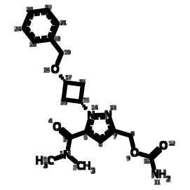 CN(C)C(=O)c1cc(COC(N)=O)nn1[C@H]1C[C@@H](OCc2ccccc2)C1